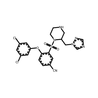 N#Cc1ccc(Oc2cc(Cl)cc(Cl)c2)c(S(=O)(=O)N2CCNCC2Cn2cncn2)c1